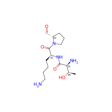 C[C@@H](O)[C@H](N)C(=O)N[C@@H](CCCCN)C(=O)N1CCC[C@H]1[C]=O